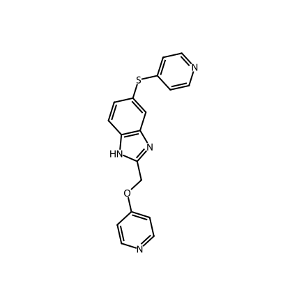 c1cc(OCc2nc3cc(Sc4ccncc4)ccc3[nH]2)ccn1